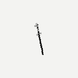 CCC=CCC=CCC=CCC=CCC=CCCCC(=O)NCCSSCCNC=O